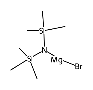 C[Si](C)(C)[N]([Mg][Br])[Si](C)(C)C